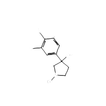 CCN1CCC(O)(c2ccc(Cl)c(Cl)c2)C1